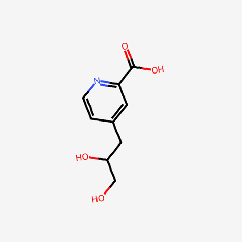 O=C(O)c1cc(CC(O)CO)ccn1